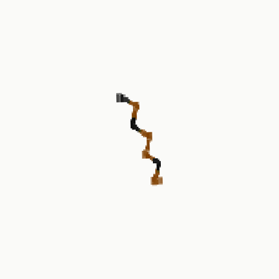 CCSCSSCS